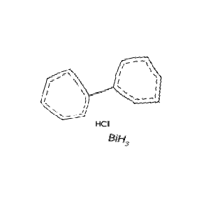 Cl.[BiH3].c1ccc(-c2ccccc2)cc1